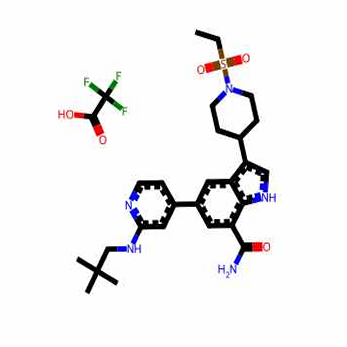 CCS(=O)(=O)N1CCC(c2c[nH]c3c(C(N)=O)cc(-c4ccnc(NCC(C)(C)C)c4)cc23)CC1.O=C(O)C(F)(F)F